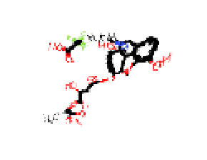 C[C@H](OC(=O)[C@@H](O)CC(=O)OC1=CC[C@@]2(O)[C@H]3Cc4ccc(O)c5c4[C@@]2(CCN3C)[C@H]1O5)C(=O)O.O=C(O)C(F)(F)F